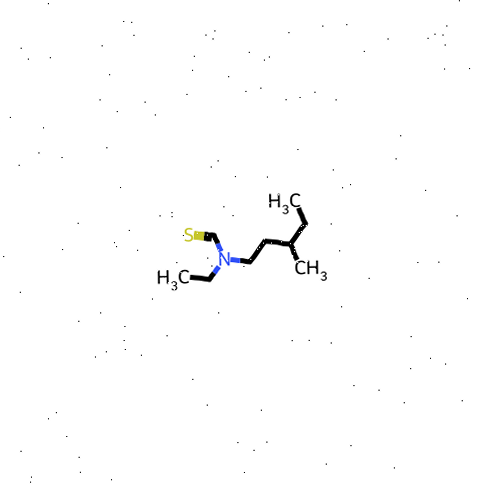 CCC(C)CCN(C=S)CC